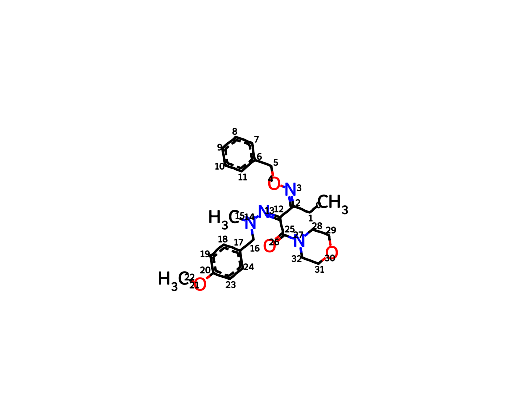 CCC(=NOCc1ccccc1)C(=NN(C)Cc1ccc(OC)cc1)C(=O)N1CCOCC1